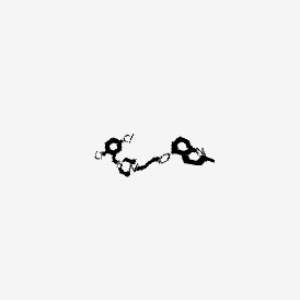 Cc1ccc2c(OCCN3CCN(Cc4cc(Cl)ccc4Cl)CC3)cccc2n1